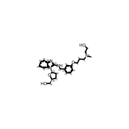 CN(CCO)CCCOc1cccc(CNc2nc3ccccc3n2[C@H]2CC[C@@H](CO)O2)c1